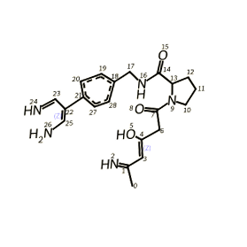 CC(=N)/C=C(\O)CC(=O)N1CCCC1C(=O)NCc1ccc(/C(C=N)=C/N)cc1